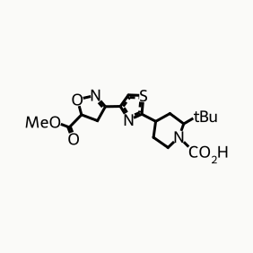 COC(=O)C1CC(c2csc(C3CCN(C(=O)O)C(C(C)(C)C)C3)n2)=NO1